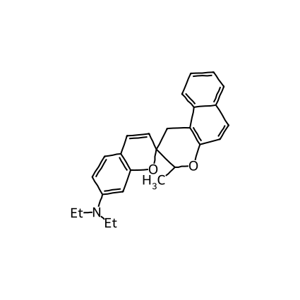 CCN(CC)c1ccc2c(c1)OC1(C=C2)Cc2c(ccc3ccccc23)OC1C